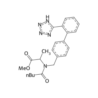 CCCCC(=O)N(Cc1ccc(-c2ccccc2-c2nnn[nH]2)cc1)C(C)C(=O)OC